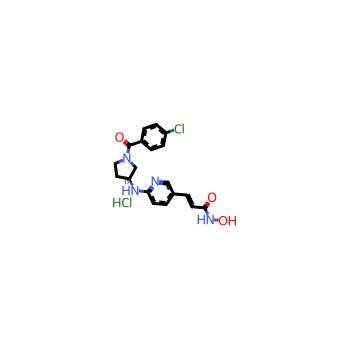 Cl.O=C(C=Cc1ccc(N[C@H]2CCN(C(=O)c3ccc(Cl)cc3)C2)nc1)NO